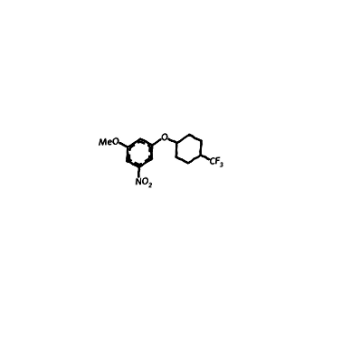 COc1cc(OC2CCC(C(F)(F)F)CC2)cc([N+](=O)[O-])c1